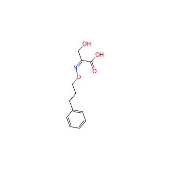 O=C(O)/C(CO)=N\OCCCc1ccccc1